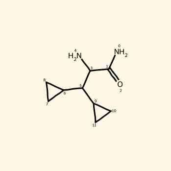 NC(=O)C(N)C(C1CC1)C1CC1